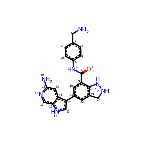 NCc1ccc(NC(=O)c2cc(-c3c[nH]c4cnc(N)cc34)cc3c2NNC3)cc1